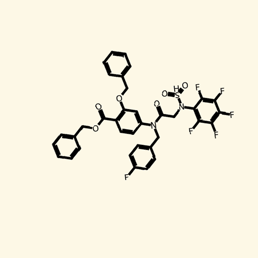 O=C(OCc1ccccc1)c1ccc(N(Cc2ccc(F)cc2)C(=O)CN(c2c(F)c(F)c(F)c(F)c2F)[SH](=O)=O)cc1OCc1ccccc1